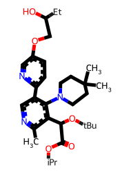 CCC(O)COc1ccc(-c2cnc(C)c(C(OC(C)(C)C)C(=O)OC(C)C)c2N2CCC(C)(C)CC2)nc1